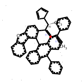 C/C=C(\C=C(\c1ccc2oc3ccccc3c2c1-c1c2ccccc2c(-c2ccccc2)c2ccccc12)[C@@H](C)C1C=CC=C1)c1ccccc1